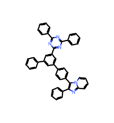 c1ccc(-c2cc(-c3ccc(-c4c(-c5ccccc5)nc5ccccn45)cc3)cc(-c3nc(-c4ccccc4)nc(-c4ccccc4)n3)c2)cc1